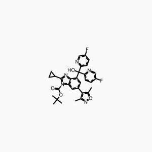 Cc1noc(C)c1-c1cc(C(O)(c2ccc(F)cn2)c2ccc(F)cn2)c2nc(C3CC3)n(C(=O)OC(C)(C)C)c2c1